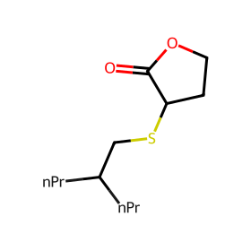 CCCC(CCC)CSC1CCOC1=O